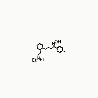 CCN(CC)CCc1ccccc1CCCC(=NO)c1ccc(C)cc1